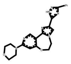 CC(C)c1n[nH]c(-c2cn3c(n2)-c2cnc(N4CCOCC4)cc2OCC3)n1